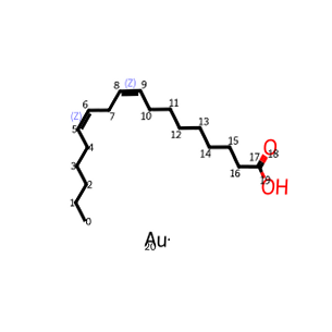 CCCCC/C=C\C/C=C\CCCCCCCC(=O)O.[Au]